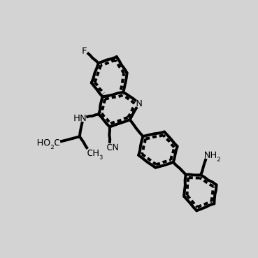 CC(Nc1c(C#N)c(-c2ccc(-c3ccccc3N)cc2)nc2ccc(F)cc12)C(=O)O